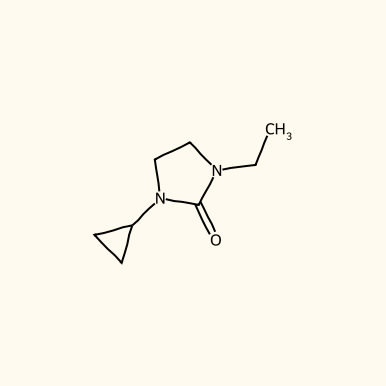 CCN1CCN(C2CC2)C1=O